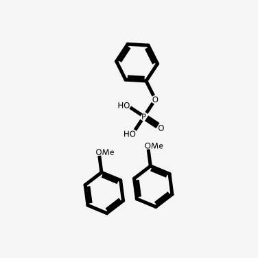 COc1ccccc1.COc1ccccc1.O=P(O)(O)Oc1ccccc1